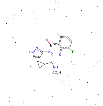 O=C(O)NC(c1nc2c(F)ccc(F)c2c(=O)n1-c1cc[nH]n1)C1CC1